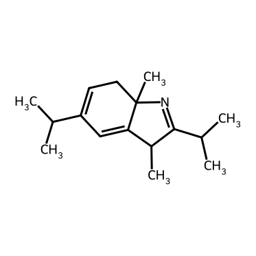 CC(C)C1=CCC2(C)N=C(C(C)C)C(C)C2=C1